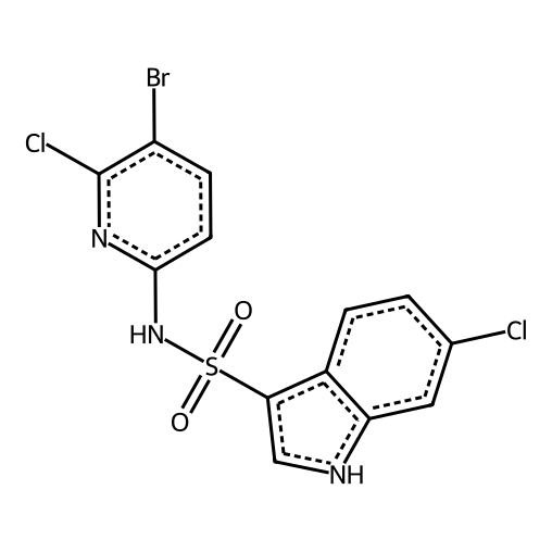 O=S(=O)(Nc1ccc(Br)c(Cl)n1)c1c[nH]c2cc(Cl)ccc12